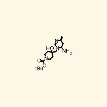 C=C1CC(N)N(CC2(O)CCN(C(=O)OC(C)(C)C)CC2)C=N1